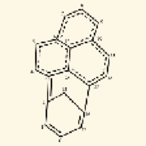 C1=CC2=c3ccc4cccc5ccc(c3c54)C(=C1)C2